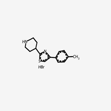 Br.Cc1ccc(-c2csc(C3CCNCC3)n2)cc1